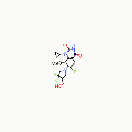 COC1c2c(c(=O)[nH]c(=O)n2C2CC2)C=C(F)C1N1CC(CO)C(F)(F)C1